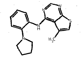 Cc1csc2ncnc(Nc3ccccc3N3CCCC3)c12